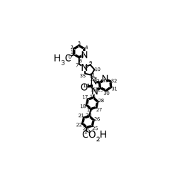 Cc1cccnc1CN1CCC(n2c(=O)n(-c3ccc(-c4ccc(C(=O)O)cc4)cc3)c3cccnc32)C1